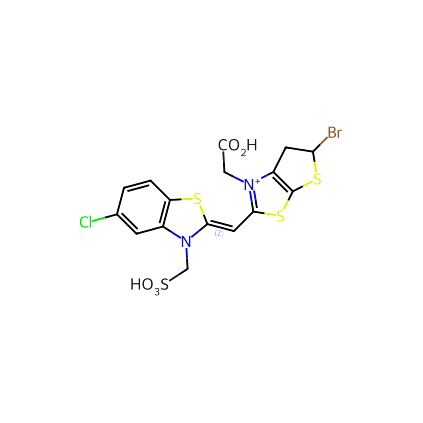 O=C(O)C[n+]1c(/C=C2\Sc3ccc(Cl)cc3N2CS(=O)(=O)O)sc2c1CC(Br)S2